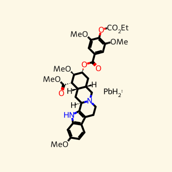 CCOC(=O)Oc1c(OC)cc(C(=O)O[C@@H]2C[C@@H]3CN4CCc5c([nH]c6cc(OC)ccc56)[C@H]4C[C@@H]3[C@H](C(=O)OC)[C@H]2OC)cc1OC.[PbH2]